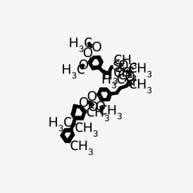 COc1cc(CCC[Si](C)(C)O[Si](C)(C)O[Si](C)(C)CCCc2ccc(OC(=O)Oc3ccc(C(C)(C)c4cccc(C)c4)cc3C)c(OC)c2)ccc1OC(C)=O